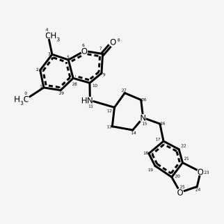 Cc1cc(C)c2oc(=O)cc(NC3CCN(Cc4ccc5c(c4)OCO5)CC3)c2c1